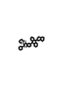 c1ccc(-c2nc3ccc(-c4c5ccccc5c(-c5ccc6ccccc6c5)c5ccccc45)cc3c3nc4ccccn4c23)cc1